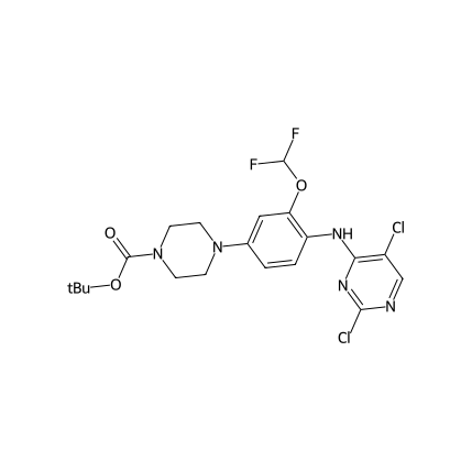 CC(C)(C)OC(=O)N1CCN(c2ccc(Nc3nc(Cl)ncc3Cl)c(OC(F)F)c2)CC1